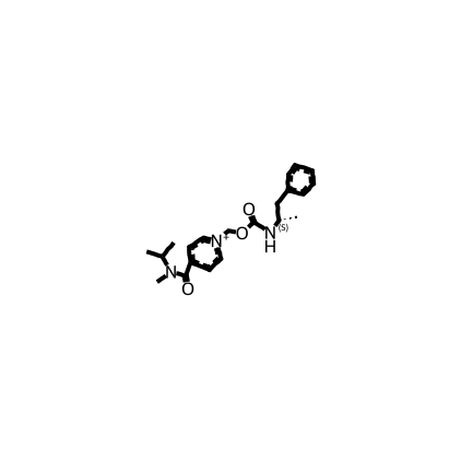 CC(C)N(C)C(=O)c1cc[n+](COC(=O)N[C@@H](C)Cc2ccccc2)cc1